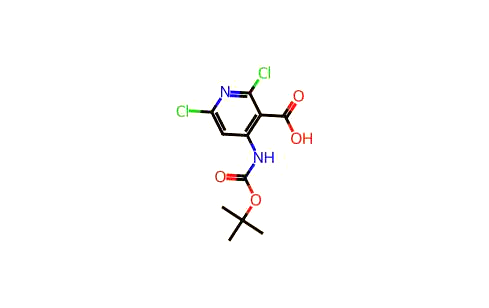 CC(C)(C)OC(=O)Nc1cc(Cl)nc(Cl)c1C(=O)O